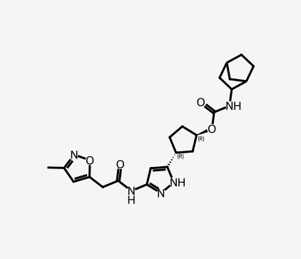 Cc1cc(CC(=O)Nc2cc([C@@H]3CC[C@@H](OC(=O)NC4CC5CCC4C5)C3)[nH]n2)on1